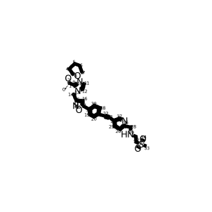 C[C@H](OC1CCCCO1)c1nccn1Cc1cc(-c2ccc(C#Cc3ccc(CNCCS(C)(=O)=O)nc3)cc2)on1